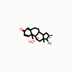 CC(=O)C1[C@H](C)CC2C3CCC4=CC(=O)C=CC4(C)C3[C@@H](O)CC21C